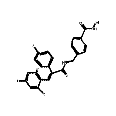 O=C(NCc1ccc(C(=O)NO)cc1)/C(=C/c1c(F)cc(F)cc1F)c1ccc(F)cc1